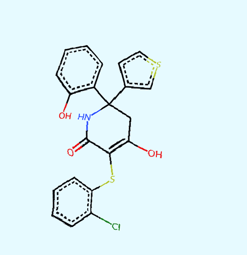 O=C1NC(c2ccsc2)(c2ccccc2O)CC(O)=C1Sc1ccccc1Cl